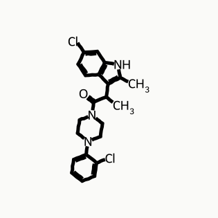 Cc1[nH]c2cc(Cl)ccc2c1C(C)C(=O)N1CCN(c2ccccc2Cl)CC1